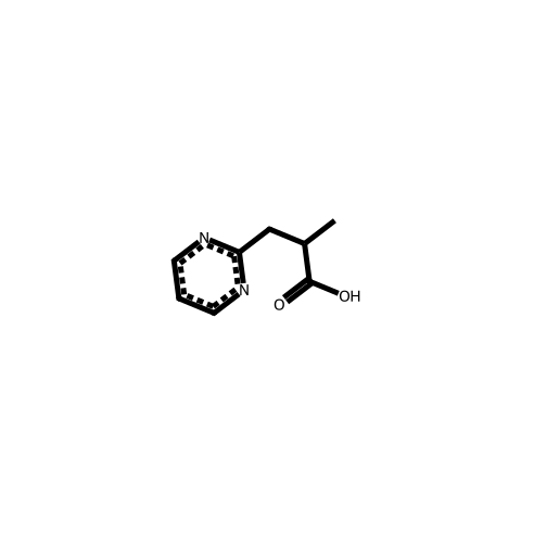 CC(Cc1ncccn1)C(=O)O